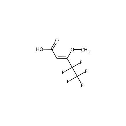 CO/C(=C\C(=O)O)C(F)(F)C(F)(F)F